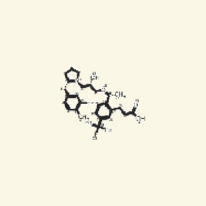 Cc1ccc(C[C@@H]2CCCN2C[C@H](O)CO[C@H](C)c2ccc(C(F)(F)F)cc2CCC(=O)O)cc1F